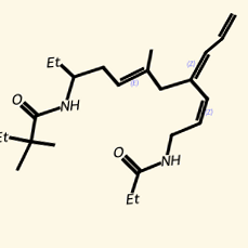 C=C/C=C(\C=C/CNC(=O)CC)C/C(C)=C/CC(CC)NC(=O)C(C)(C)CC